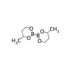 CC1CCOB(B2OCCC(C)O2)O1